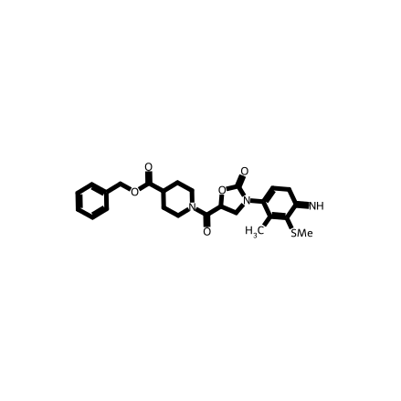 CSC1=C(C)C(N2CC(C(=O)N3CCC(C(=O)OCc4ccccc4)CC3)OC2=O)=CCC1=N